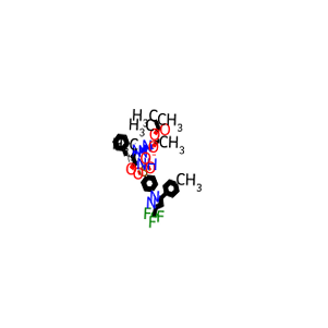 Cc1ccc(-c2cc(C(F)(F)F)nn2-c2ccc(S(=O)(=O)NC(=O)[C@H](Cc3ccccc3)N(C)[N+]([O-])=NOC(C)OC(=O)C(C)(C)C)cc2)cc1